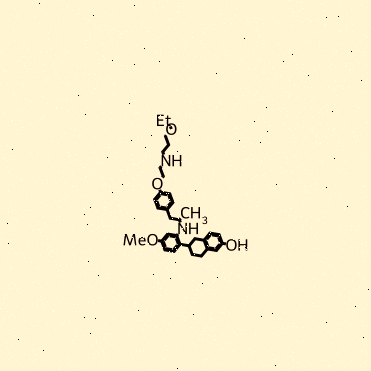 CCOCCCNCCOc1ccc(CC(C)Nc2cc(OC)ccc2C2CCc3cc(O)ccc3C2)cc1